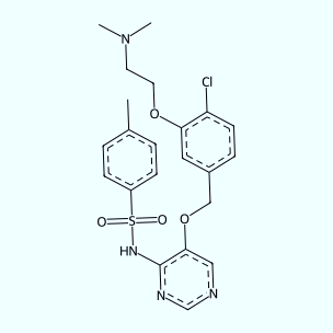 Cc1ccc(S(=O)(=O)Nc2ncncc2OCc2ccc(Cl)c(OCCN(C)C)c2)cc1